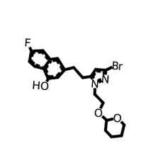 Oc1cc(CCc2cc(Br)nn2CCOC2CCCCO2)cc2cc(F)ccc12